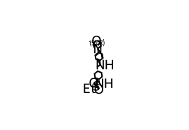 CCS(=O)(=O)N[C@H]1CC[C@H](CNc2ccc(N3C[C@@H](C)O[C@@H](C)C3)cc2)CC1